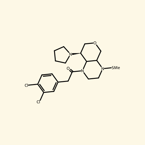 CSN1CCN(C(=O)Cc2ccc(Cl)c(Cl)c2)C2C1COC[C@@H]2N1CCCC1